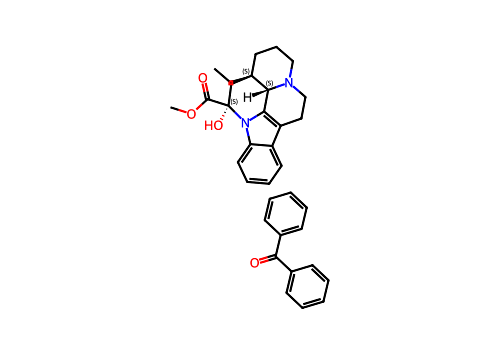 CC[C@]12CCCN3CCc4c(n(c5ccccc45)[C@@](O)(C(=O)OC)C1)[C@@H]32.O=C(c1ccccc1)c1ccccc1